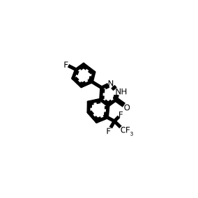 O=c1[nH]nc(-c2ccc(F)cc2)c2cccc(C(F)(F)C(F)(F)F)c12